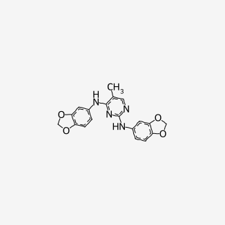 Cc1cnc(Nc2ccc3c(c2)OCO3)nc1Nc1ccc2c(c1)OCO2